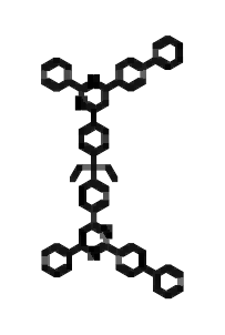 CCC(CC)(c1ccc(-c2cc(-c3ccc(-c4ccccc4)cc3)nc(-c3ccccc3)n2)cc1)c1ccc(-c2cc(-c3ccccc3)nc(-c3ccc(-c4ccccc4)cc3)n2)cc1